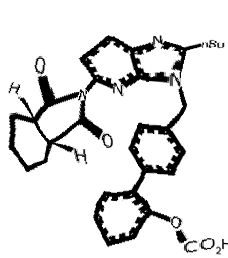 CCCCc1nc2ccc(N3C(=O)[C@H]4CCCC[C@H]4C3=O)nc2n1Cc1ccc(-c2ccccc2OC(=O)O)cc1